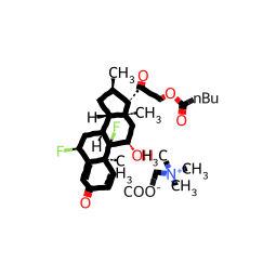 CCCCC(=O)OCC(=O)[C@H]1[C@H](C)C[C@H]2[C@@H]3C[C@H](F)C4=CC(=O)C=C[C@]4(C)[C@@]3(F)[C@@H](O)C[C@@]21C.C[N+](C)(C)CC(=O)[O-]